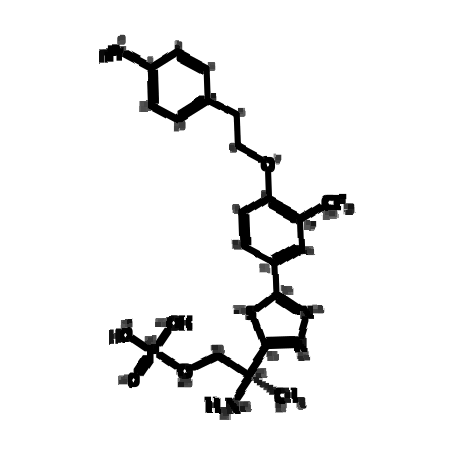 CCCc1ccc(CCOc2ccc(-c3nnc([C@@](C)(N)COP(=O)(O)O)s3)cc2C(F)(F)F)cc1